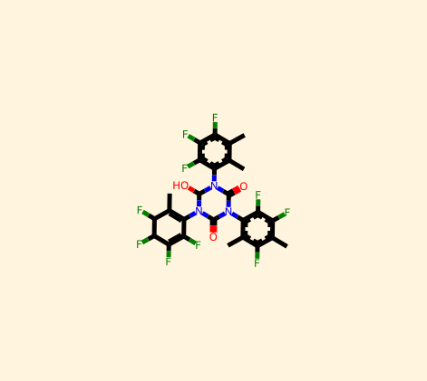 CC1=C(N2C(=O)N(c3c(C)c(F)c(C)c(F)c3F)C(=O)N(c3c(C)c(C)c(F)c(F)c3F)C2O)C(F)=C(F)C(F)C1F